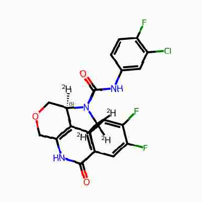 [2H]C([2H])([2H])N(C(=O)Nc1ccc(F)c(Cl)c1)[C@]1([2H])COCc2[nH]c(=O)c3cc(F)c(F)cc3c21